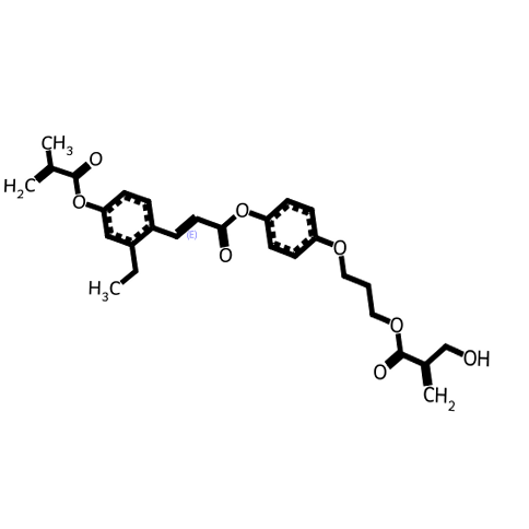 C=C(C)C(=O)Oc1ccc(/C=C/C(=O)Oc2ccc(OCCCOC(=O)C(=C)CO)cc2)c(CC)c1